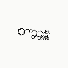 CC[C@@H](O)C[C@@H](COCc1ccccc1)C(=O)OC